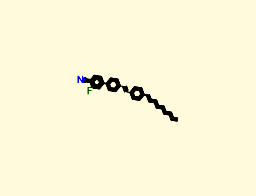 CCCCCCCCC[C@H]1CC[C@H](C=C[C@H]2CC[C@H](c3ccc(C#N)c(F)c3)CC2)CC1